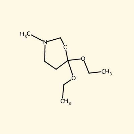 CCOC1(OCC)CCN(C)CC1